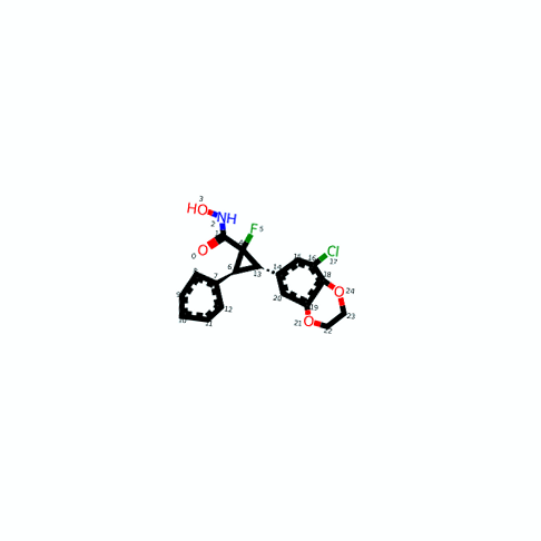 O=C(NO)C1(F)[C@H](c2ccccc2)[C@H]1c1cc(Cl)c2c(c1)OCCO2